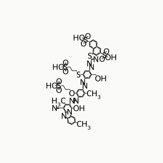 Cc1ccc2nc3c(C#N)c(C)c(N=Nc4cc(C)c(N=Nc5cc(CO)c(N=Nc6nc7c(S(=O)(=O)O)cc8ccc(S(=O)(=O)O)cc8c7s6)cc5SCCCS(=O)(=O)O)cc4OCCCS(=O)(=O)O)c(O)n3c2c1